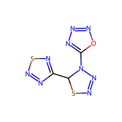 N1=NN(c2nnno2)C(c2nnsn2)S1